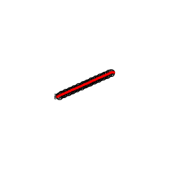 C#CCOCCOCCOCCOCCOCCOCCOCCOCCOCCOCCOCCOCCOCCOCCOCCOCCOCCOCCOCCOCCOCCOCCOCCOCCOCCC(=C)C